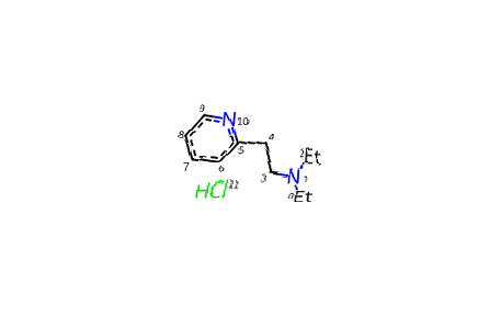 CCN(CC)CCc1ccccn1.Cl